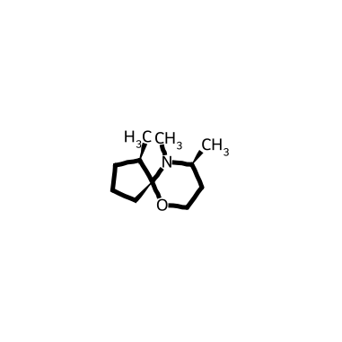 C[C@@H]1CCC[C@@]12OCC[C@H](C)N2C